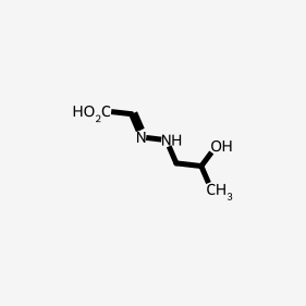 CC(O)CNN=CC(=O)O